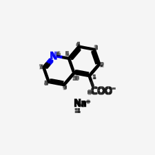 O=C([O-])c1cccc2ncccc12.[Na+]